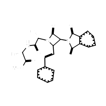 COC(=O)[C@@H](NC(=O)[C@H](C(C)C)N1C(=O)C(N2C(=O)c3ccccc3C2=O)C1C=Cc1ccccc1)C(C)C